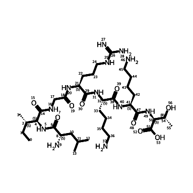 CC[C@H](C)[C@H](NC(=O)[C@@H](N)CC(C)C)C(=O)NCC(=O)N[C@@H](CCCNC(=N)N)C(=O)N[C@@H](CCCCN)C(=O)N[C@@H](CCCCN)C(=O)N[C@H](C(=O)O)[C@@H](C)O